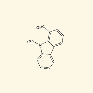 CCCn1c2ccccc2c2cccc(C=O)c21